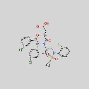 CC(C)[C@@H](CN(c1ccccc1F)S(=O)(=O)C1CC1)N1C(=O)[C@H](CC(=O)O)O[C@H](c2cccc(Cl)c2)[C@H]1c1ccc(Cl)cc1